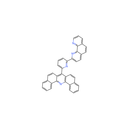 c1cc(-c2ccc3ccc4cccnc4c3n2)nc(-c2c3ccc4ccccc4c3nc3c2ccc2ccccc23)c1